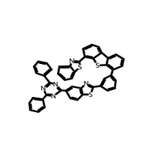 c1ccc(-c2nc(-c3ccccc3)nc(-c3ccc4sc(-c5cccc(-c6cccc7c6sc6c(-c8nc9ccccc9s8)cccc67)c5)nc4c3)n2)cc1